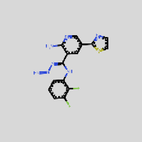 N=N/N=C(\Nc1cccc(F)c1F)c1cc(-c2nccs2)cnc1N